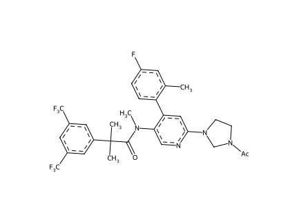 CC(=O)N1CCN(c2cc(-c3ccc(F)cc3C)c(N(C)C(=O)C(C)(C)c3cc(C(F)(F)F)cc(C(F)(F)F)c3)cn2)C1